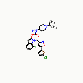 CC(C)N1CCC(NC(=O)Oc2cc3cccc(Cl)c3n2Cc2cc(-c3ccc(Cl)s3)on2)CC1